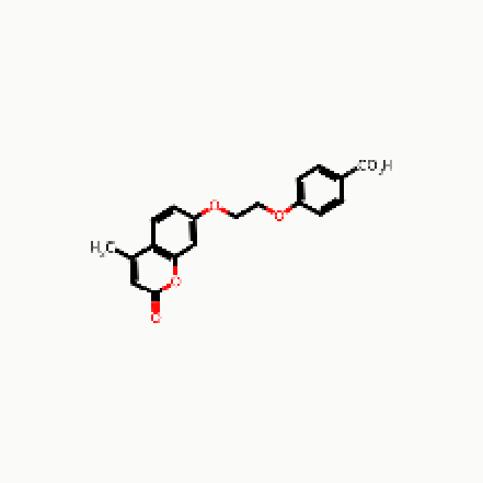 Cc1cc(=O)oc2cc(OCCOc3ccc(C(=O)O)cc3)ccc12